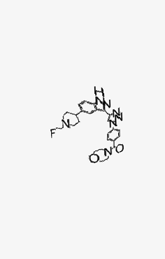 O=C(c1ccc(-n2cc(-c3n[nH]c4ccc(C5CCN(CCF)CC5)cc34)nn2)cc1)N1CCOCC1